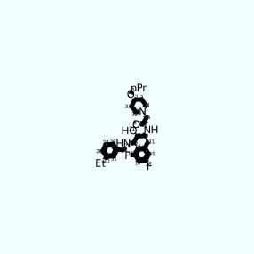 CCCOC1CCN(CC(=O)N[C@@H](Cc2cc(F)cc(F)c2)[C@H](O)CNCc2cccc(CC)c2)CC1